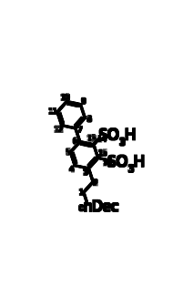 CCCCCCCCCCCCc1ccc(-c2ccccc2)c(S(=O)(=O)O)c1S(=O)(=O)O